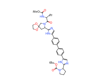 COC(=O)NC(C(=O)N1CC2(CC1c1ncc(-c3ccc(-c4ccc(-c5cnc(C6CCCN6C(=O)OC(C)(C)C)[nH]5)cc4)cc3)[nH]1)OCCO2)C(C)C